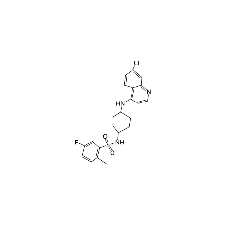 Cc1ccc(F)cc1S(=O)(=O)NC1CCC(Nc2ccnc3cc(Cl)ccc23)CC1